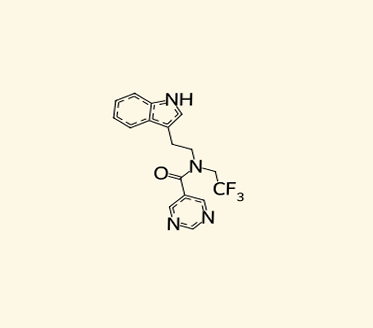 O=C(c1cncnc1)N(CCc1c[nH]c2ccccc12)CC(F)(F)F